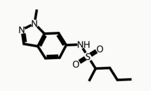 CCCC(C)S(=O)(=O)Nc1ccc2cnn(C)c2c1